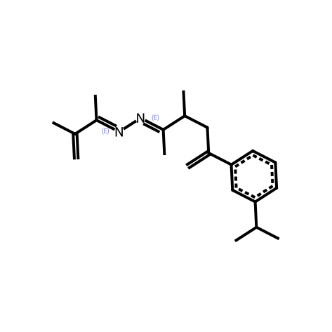 C=C(C)/C(C)=N/N=C(\C)C(C)CC(=C)c1cccc(C(C)C)c1